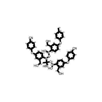 CCCCC(C)(OB(O)c1ccc(Oc2ccc(C#N)cc2)cc1CO)B(OB(O)c1ccc(Oc2ccc(C)cc2)cc1CO)c1ccc(Oc2ccc(C#N)cc2)cc1CO